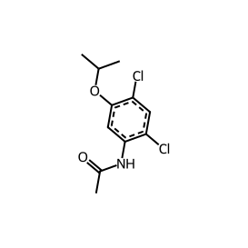 CC(=O)Nc1cc(OC(C)C)c(Cl)cc1Cl